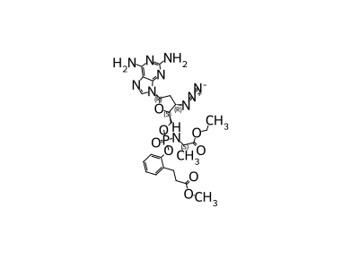 CCOC(=O)[C@H](C)NP(=O)(OC[C@H]1O[C@@H](n2cnc3c(N)nc(N)nc32)C[C@H]1N=[N+]=[N-])Oc1ccccc1CCC(=O)OC